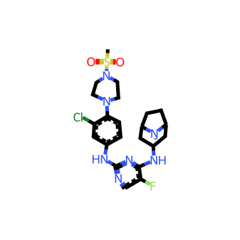 CN1C2CCC1CC(Nc1nc(Nc3ccc(N4CCN(S(C)(=O)=O)CC4)c(Cl)c3)ncc1F)C2